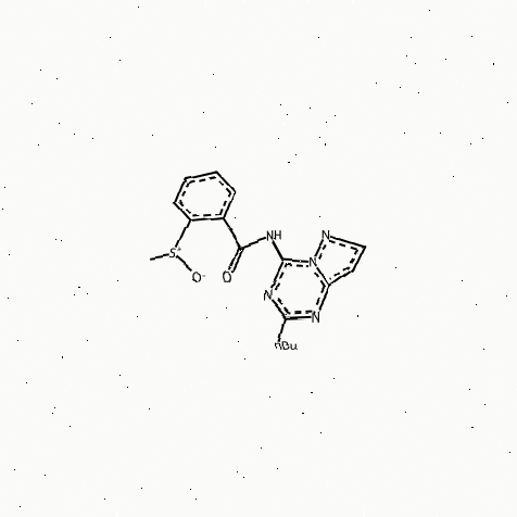 CCCCc1nc(NC(=O)c2ccccc2[S+](C)[O-])n2nccc2n1